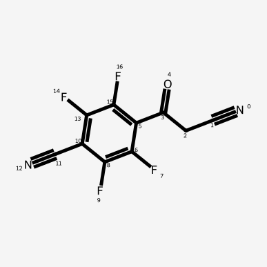 N#CCC(=O)c1c(F)c(F)c(C#N)c(F)c1F